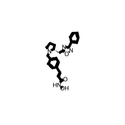 O=C(C=Cc1ccc(CN2CCC[C@@H]2Cc2nc(-c3ccccc3)no2)cc1)NO